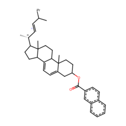 CC(C)C(C)/C=C/[C@@H](C)C1CCC2C3=CC=C4CC(OC(=O)c5ccc6ccccc6c5)CCC4(C)C3CCC21C